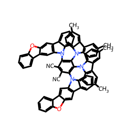 Cc1ccc2c(c1)c1cc(C)ccc1n2-c1c(-n2c3ccccc3c3cc4oc5ccccc5c4cc32)c(C#N)c(C#N)c(-n2c3ccccc3c3cc4oc5ccccc5c4cc32)c1-n1c2ccc(C)cc2c2cc(C)ccc21